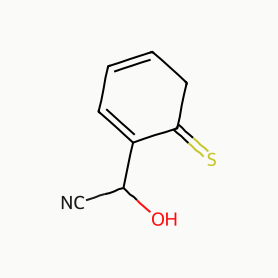 N#CC(O)C1=CC=CCC1=S